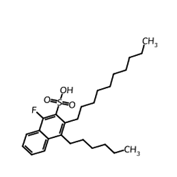 CCCCCCCCCCc1c(S(=O)(=O)O)c(F)c2ccccc2c1CCCCCC